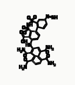 N=Nc1ccc2c(c1)S(=O)(=O)NS(=O)(=O)c1c-2ccc(Nc2cc(C(N)=O)c3c(C(N)=O)ccc(C(N)=O)c3c2C(N)=O)c1C(=O)O